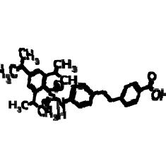 CC(C)c1cc(C(C)C)c(S(=O)(=O)Nc2ccc(CCc3ccc(C(=O)O)cc3)cc2)c(C(C)C)c1